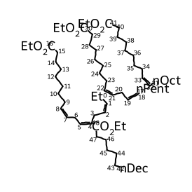 CC/C=C\C/C=C\C/C=C\CCCCCCCC(=O)OCC.CCCCC/C=C\C/C=C\CCCCCCCC(=O)OCC.CCCCCCCC/C=C\CCCCCCCC(=O)OCC.CCCCCCCCCCCCCCCC(=O)OCC